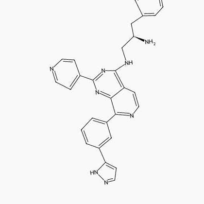 N[C@@H](CNc1nc(-c2ccncc2)nc2c(-c3cccc(-c4ccn[nH]4)c3)nccc12)Cc1ccccc1